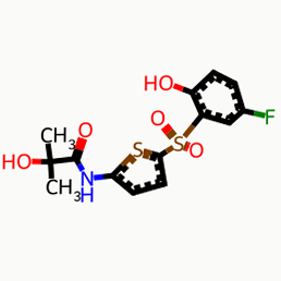 CC(C)(O)C(=O)Nc1ccc(S(=O)(=O)c2cc(F)ccc2O)s1